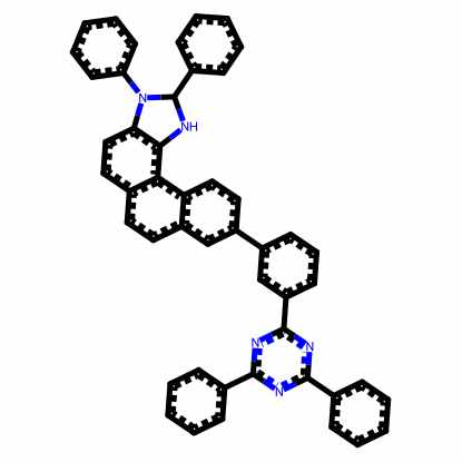 c1ccc(-c2nc(-c3ccccc3)nc(-c3cccc(-c4ccc5c(ccc6ccc7c(c65)NC(c5ccccc5)N7c5ccccc5)c4)c3)n2)cc1